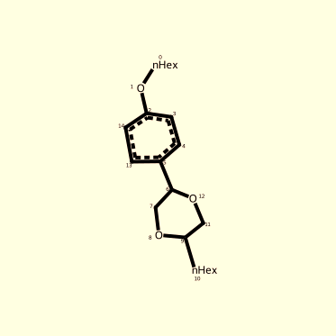 CCCCCCOc1ccc(C2COC(CCCCCC)CO2)cc1